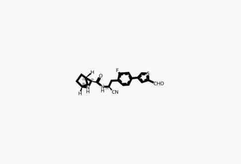 N#C[C@H](Cc1ccc(-c2csc(C=O)c2)cc1F)NC(=O)[C@H]1N[C@@H]2CC[C@H]1C2